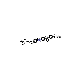 C=CC(=O)OCCCCOc1ccc(/N=N/c2ccc(OC(=O)c3ccc(OCCCC)cc3)cc2)cc1